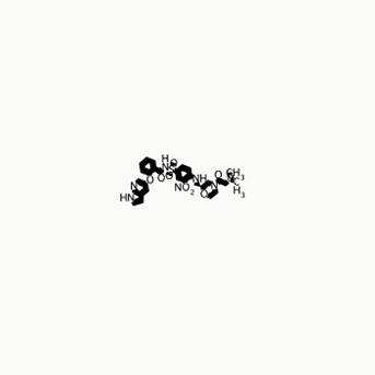 CN(C)CC(=O)N1CCO[C@@H](CNc2ccc(S(=O)(=O)NC(=O)c3ccccc3Oc3cnc4[nH]ccc4c3)cc2[N+](=O)[O-])C1